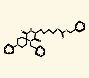 O=C(NCCCCC1NC(=O)C2(CCN(c3ccccc3)CC2)N(Cc2ccccc2)C1=O)OCc1ccccc1